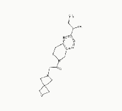 CCC(C)c1ccc2c(n1)CCN(C(=O)CN1CC3(COC3)C1)C2